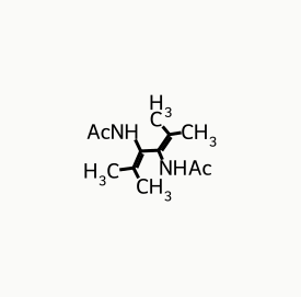 CC(=O)NC(=C(C)C)C(NC(C)=O)=C(C)C